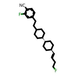 N#Cc1ccc(CCC2CCC([C@H]3CC[C@H](/C=C/CCF)CC3)CC2)cc1F